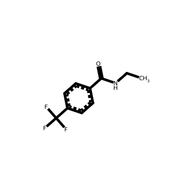 CCNC(=O)c1ccc(C(F)(F)F)cc1